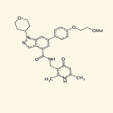 COCCOc1ccc(-c2cc(C(=O)NCc3c(C)[nH]c(C)cc3=O)c3cnn(C4CCOCC4)c3c2)cc1